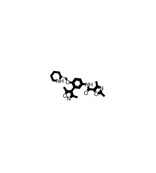 Cc1nc(C)c(C(=O)Nc2ccc(OC[C@H]3CCCCN3)c(-c3c(C)noc3C)c2)o1